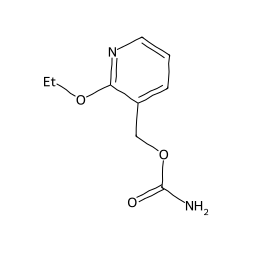 CCOc1ncccc1COC(N)=O